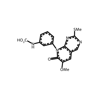 COc1cc2cnc(SC)nc2n(-c2cccc(NC(=O)O)c2)c1=O